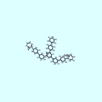 CN1CC=CC=C1c1ccc(-c2cccc(-c3cc(-c4cccc(-c5ccc(C6C=CC=CN6)cc5)c4)cc(-c4ccc(-c5ccccc5)cc4)n3)c2)cc1